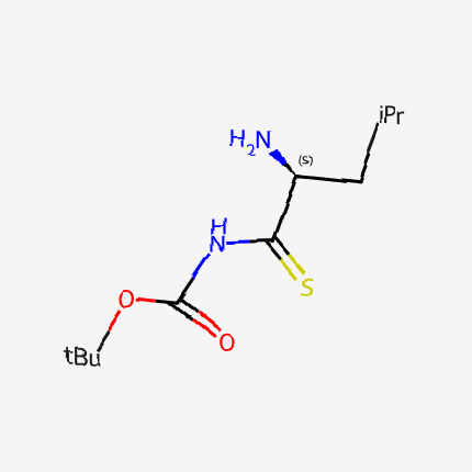 CC(C)C[C@H](N)C(=S)NC(=O)OC(C)(C)C